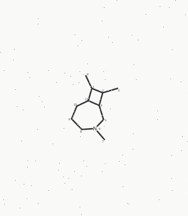 CC1C(C)C2CN(C)CCCC12